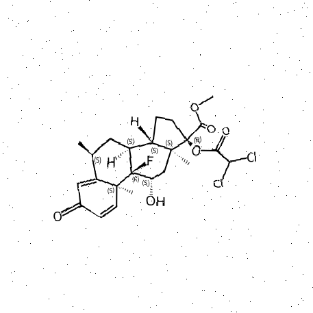 COC(=O)[C@@]1(OC(=O)C(Cl)Cl)CC[C@H]2[C@@H]3C[C@H](C)C4=CC(=O)C=C[C@]4(C)[C@@]3(F)[C@@H](O)C[C@@]21C